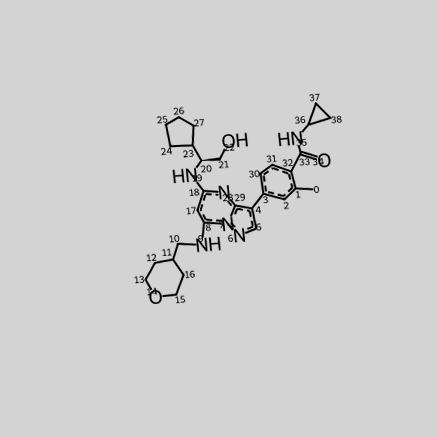 Cc1cc(-c2cnn3c(NCC4CCOCC4)cc(N[C@H](CO)C4CCCC4)nc23)ccc1C(=O)NC1CC1